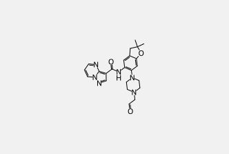 CC1(C)Cc2cc(NC(=O)c3cnn4cccnc34)c(N3CCN(CC=O)CC3)cc2O1